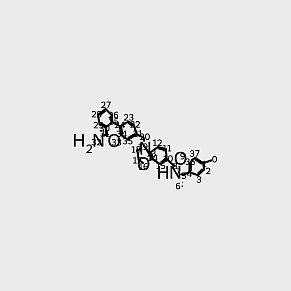 Cc1ccc([C@H](C)NC(=O)c2ccc3c(c2)OCCN3Cc2ccc(-c3ccccc3C(N)=O)cc2)cc1